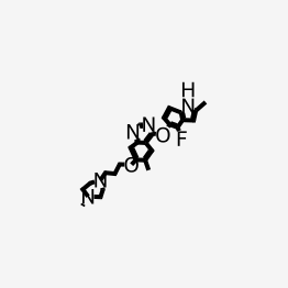 Cc1cc2c(F)c(Oc3ncnc4cc(OCCCN5CCN(C)CC5)c(C)cc34)ccc2[nH]1